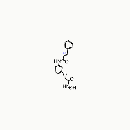 O=C(/C=C/c1ccccc1)Nc1cccc(OCC(=O)NO)c1